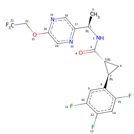 C[C@@H](NC(=O)[C@@H]1C[C@H]1c1cc(F)c(F)cc1F)c1cnc(OCC(F)(F)F)cn1